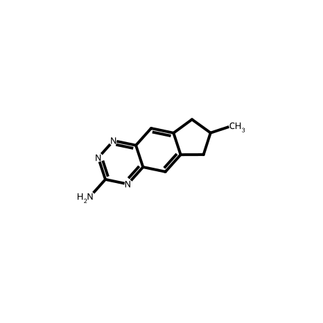 CC1Cc2cc3nnc(N)nc3cc2C1